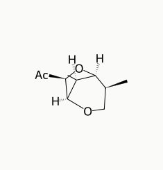 CC(=O)[C@H]1O[C@@H]2[C@H](C)[C@H]1OC[C@@H]2C